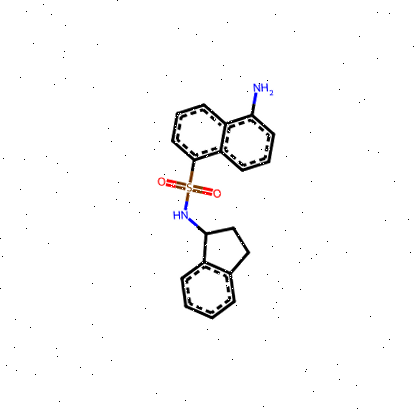 Nc1cccc2c(S(=O)(=O)NC3CCc4ccccc43)cccc12